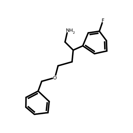 NCC(CCOCc1ccccc1)c1cccc(F)c1